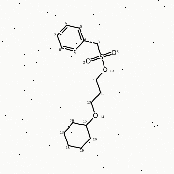 O=S(=O)(Cc1ccccc1)OCCCOC1CCCCC1